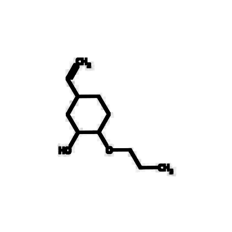 C=CC1CCC(OCCC)C(O)C1